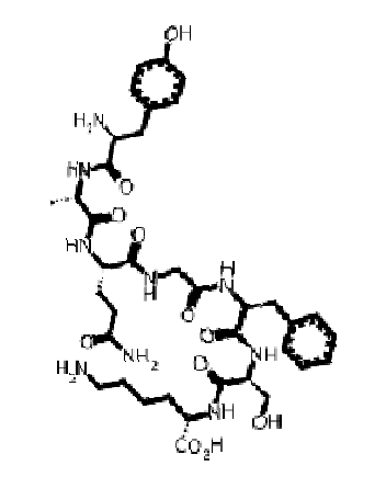 C[C@H](NC(=O)[C@@H](N)Cc1ccc(O)cc1)C(=O)N[C@@H](CCC(N)=O)C(=O)NCC(=O)N[C@@H](Cc1ccccc1)C(=O)N[C@@H](CO)C(=O)N[C@@H](CCCCN)C(=O)O